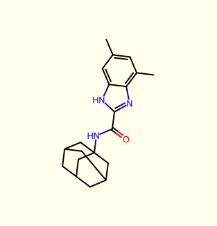 Cc1cc(C)c2nc(C(=O)NC34CC5CC(CC(C5)C3)C4)[nH]c2c1